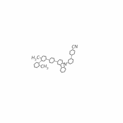 Cc1ccccc1-c1cc(-c2ccc(-c3ccc4c(c3)c3ccccc3n4-c3cccc(-c4ccc(C#N)cc4)c3)cc2)ccc1C